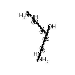 CCC(N)CCNCCC(=O)OCCCCCOC(=O)CCN(CCCCO)CCC(=O)OCCCCCOC(=O)CCNCCC(N)CC